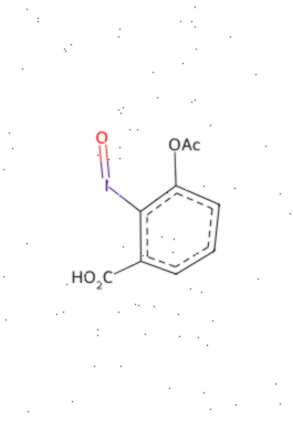 CC(=O)Oc1cccc(C(=O)O)c1I=O